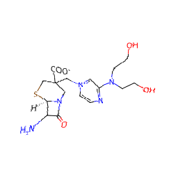 NC1C(=O)N2CC(C[n+]3ccnc(N(CCO)CCO)c3)(C(=O)[O-])CS[C@H]12